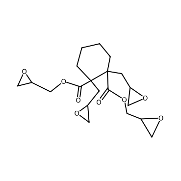 O=C(OCC1CO1)C1(CC2CO2)CCCCC1(CC1CO1)C(=O)OCC1CO1